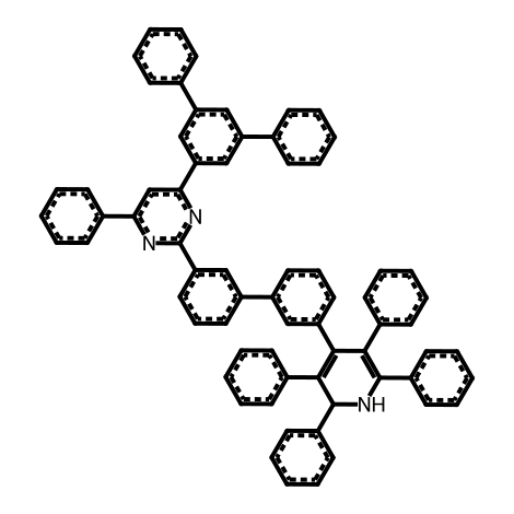 c1ccc(C2=C(c3ccccc3)C(c3cccc(-c4cccc(-c5nc(-c6ccccc6)cc(-c6cc(-c7ccccc7)cc(-c7ccccc7)c6)n5)c4)c3)=C(c3ccccc3)C(c3ccccc3)N2)cc1